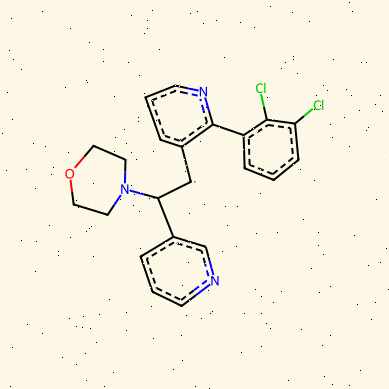 Clc1cccc(-c2ncccc2[CH][C](c2cccnc2)N2CCOCC2)c1Cl